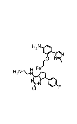 Cc1ncn(-c2ccc(N)cc2OC[CH2][Fe])n1.NCCNc1nc(Cl)nc2c1CCC2c1ccc(F)cc1